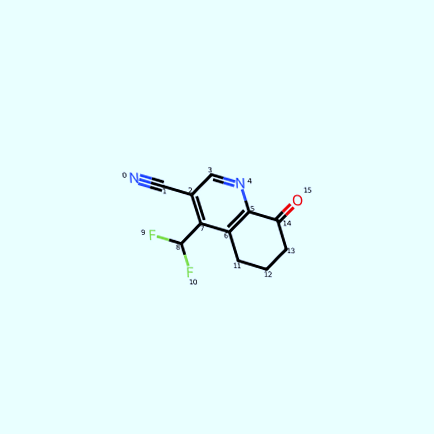 N#Cc1cnc2c(c1C(F)F)CCCC2=O